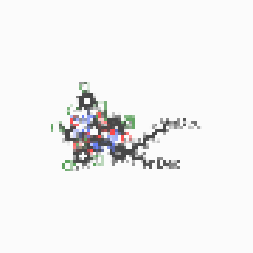 CCCCCCCCCCCCCCCCC=Cc1cccc(N(c2[nH]n(-c3c(Cl)cc(Cl)cc3Cl)c(=O)c2C(c2ccc(Cl)cc2Cl)c2c(N(c3cccc(C=CCCCCCCCCCCCCCCCC)c3)N3C(=O)CC(Cl)C3=O)[nH]n(-c3c(Cl)cc(Cl)cc3Cl)c2=O)N2C(=O)CC(Cl)C2=O)c1